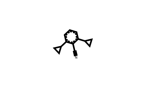 N#Cc1c(C2CC2)c[c]cc1C1CC1